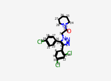 O=C(Cn1nnc(-c2ccc(Cl)cc2Cl)c1-c1ccc(Cl)cc1)N1CCCCC1